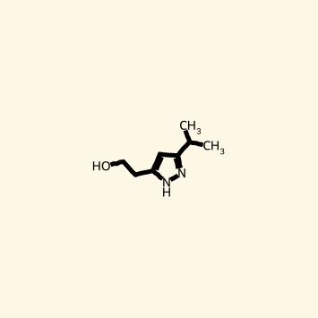 CC(C)c1cc(CCO)[nH]n1